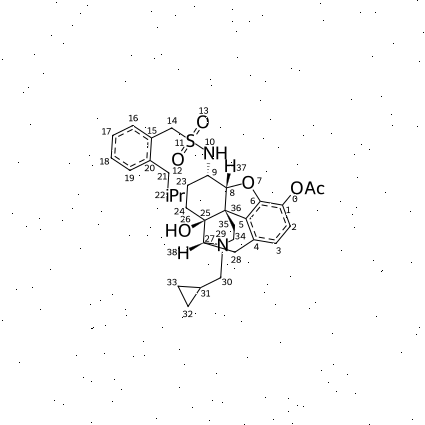 CC(=O)Oc1ccc2c3c1O[C@H]1[C@@H](NS(=O)(=O)Cc4ccccc4CC(C)C)CC[C@@]4(O)[C@@H](C2)N(CC2CC2)CC[C@]314